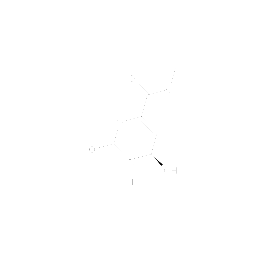 COC(=O)C1=C[C@@H](O)[C@H](O)C(OC)O1